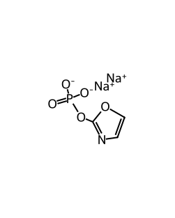 O=P([O-])([O-])Oc1ncco1.[Na+].[Na+]